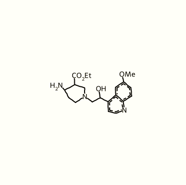 CCOC(=O)C1CN(CC(O)c2ccnc3ccc(OC)cc23)CCC1N